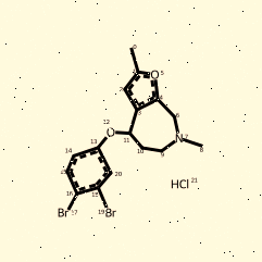 Cc1cc2c(o1)CN(C)CCC2Oc1ccc(Br)c(Br)c1.Cl